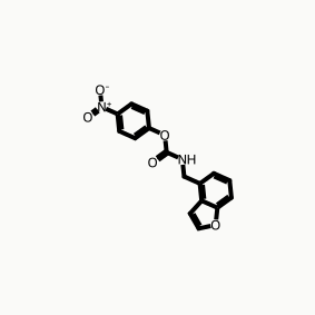 O=C(NCc1cccc2occc12)Oc1ccc([N+](=O)[O-])cc1